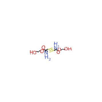 N[C@@H](CSSC[C@H](N)C(=O)OCCCO)C(=O)OCCCO